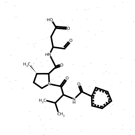 CC(C)C(NC(=O)c1ccccc1)C(=O)N1CC[C@H](C)C1C(=O)NC(C=O)CC(=O)O